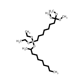 CCCCCCCCC(C)O[Si](CCCCCCCC(OC)(OC)OC)(OCC)OCC